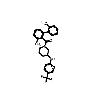 Cc1ccccc1-c1cccc(C)c1C(=O)N1CCCC(Nc2ccc(C(F)(F)F)cn2)C1